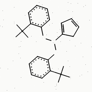 FC(F)(F)c1ccccc1[O][Zr]([O]c1ccccc1C(F)(F)F)[C]1=CC=CC1